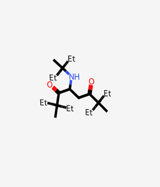 CCC(C)(CC)NC(CC(=O)C(C)(CC)CC)C(=O)C(C)(CC)CC